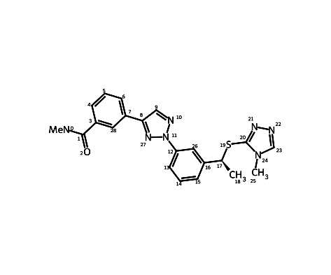 CNC(=O)c1cccc(-c2cnn(-c3cccc([C@H](C)Sc4nncn4C)c3)n2)c1